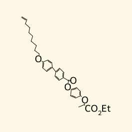 C=CCCCCCCCCOc1ccc(-c2ccc(C(=O)Oc3ccc(O[C@H](C)C(=O)OCC)cc3)cc2)cc1